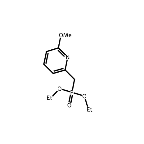 CCOP(=O)(Cc1cccc(OC)n1)OCC